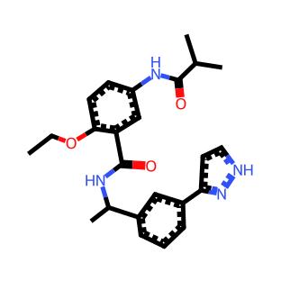 CCOc1ccc(NC(=O)C(C)C)cc1C(=O)NC(C)c1cccc(-c2cc[nH]n2)c1